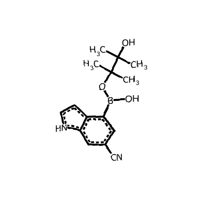 CC(C)(O)C(C)(C)OB(O)c1cc(C#N)cc2[nH]ccc12